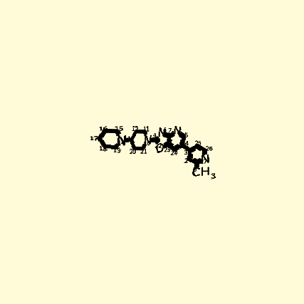 Cc1cc(-c2cnc3nc(N4CCC(N5CCCCC5)CC4)oc3c2)ccn1